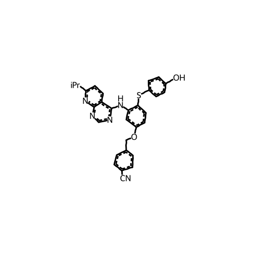 CC(C)c1ccc2c(Nc3cc(OCc4ccc(C#N)cc4)ccc3Sc3ccc(O)cc3)ncnc2n1